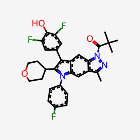 Cc1nn(C(=O)C(C)(C)C)c2cc3c(-c4cc(F)c(O)c(F)c4)c(C4CCOCC4)n(-c4ccc(F)cc4)c3cc12